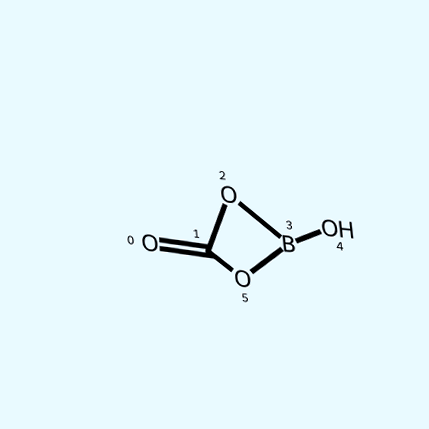 O=C1OB(O)O1